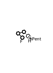 CCCCC[Si@H]1CC[C@H](c2cccc(-c3ccccc3-c3cccc(F)c3)c2)CC1